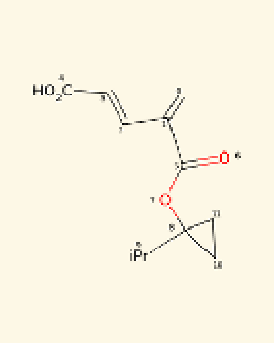 C=C(C=CC(=O)O)C(=O)OC1(C(C)C)CC1